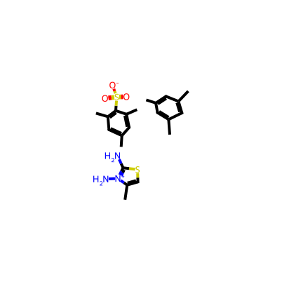 Cc1cc(C)c(S(=O)(=O)[O-])c(C)c1.Cc1cc(C)cc(C)c1.Cc1csc(N)[n+]1N